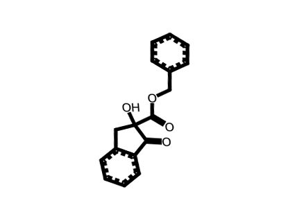 O=C(OCc1ccccc1)C1(O)Cc2ccccc2C1=O